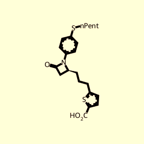 CCCCCSc1ccc(N2C(=O)C[C@@H]2CCCc2ccc(C(=O)O)s2)cc1